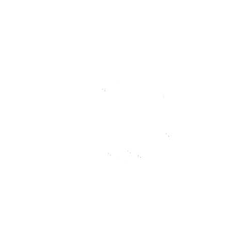 CNC(=O)c1c(-c2ccc(C)cc2)oc2cc(N(C)S(C)(=O)=O)c(-c3cc(-c4cc5c(F)cccc5[nH]4)c(C)nn3)cc12